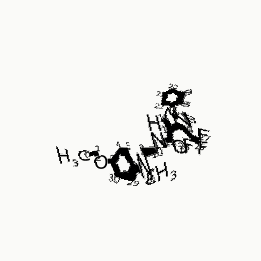 CCOc1ccc(N(C)CCNC(=O)c2cn(-c3ccccc3)nc2C(F)(F)F)cc1